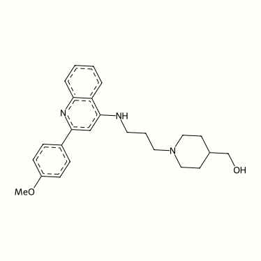 COc1ccc(-c2cc(NCCCN3CCC(CO)CC3)c3ccccc3n2)cc1